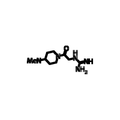 CNC1CCN(C(=O)CNC(=N)N)CC1